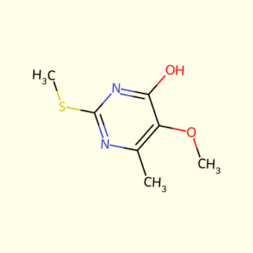 COc1c(C)nc(SC)nc1O